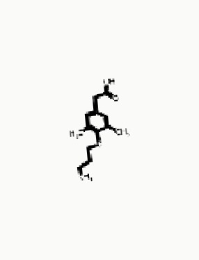 CCCCOc1c(C)cc(CC(=O)O)cc1C